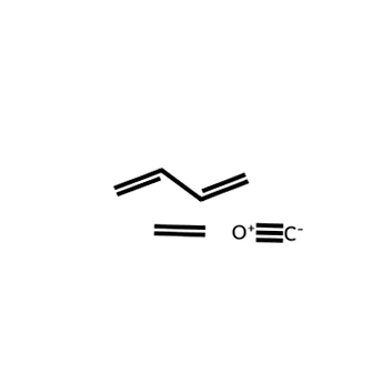 C=C.C=CC=C.[C-]#[O+]